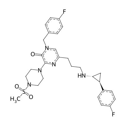 CS(=O)(=O)N1CCN(c2nc(CCCN[C@@H]3C[C@H]3c3ccc(F)cc3)cn(Cc3ccc(F)cc3)c2=O)CC1